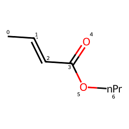 C[C]=CC(=O)OCCC